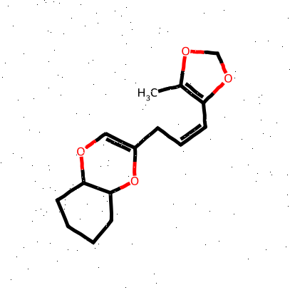 CC1=C(/C=C\CC2=COC3CCCCC3O2)OCO1